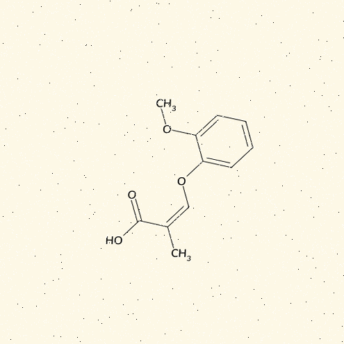 COc1ccccc1OC=C(C)C(=O)O